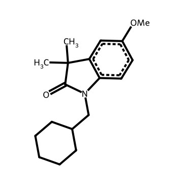 COc1ccc2c(c1)C(C)(C)C(=O)N2CC1CCCCC1